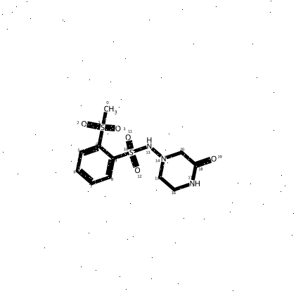 CS(=O)(=O)c1ccccc1S(=O)(=O)NN1CCNC(=O)C1